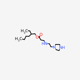 CCCCC(CC)COC(=O)CCNCCN1CCNCC1